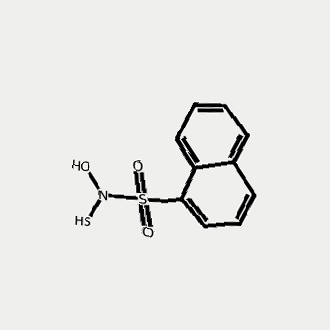 O=S(=O)(c1cccc2ccccc12)N(O)S